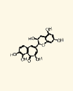 O=c1c(O)cc(C2Oc3cc(O)cc(O)c3CC2O)cc2ccc(O)c(O)c12